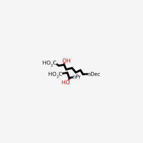 CCCC(O)CC(=O)O.CCCCCCCCCCCCCCCC(O)CC(=O)O